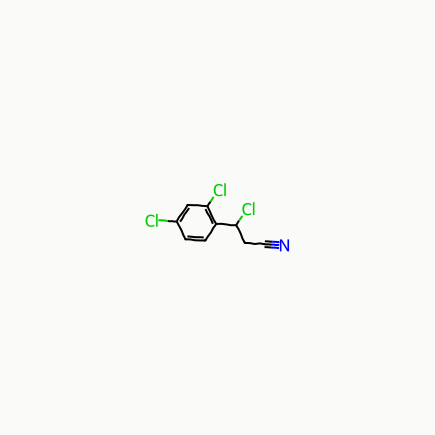 N#CCC(Cl)c1ccc(Cl)cc1Cl